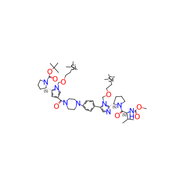 COC(=O)N[C@H](C(=O)N1CCC[C@H]1c1ncc(-c2ccc(N3CCN(C(=O)c4cc([C@@H]5CCCN5C(=O)OC(C)(C)C)n(COCC[Si](C)(C)C)c4)CC3)cc2)n1COCC[Si](C)(C)C)C(C)C